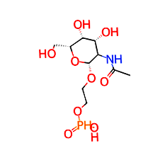 CC(=O)NC1[C@H](OCCO[PH](=O)O)O[C@H](CO)[C@H](O)[C@@H]1O